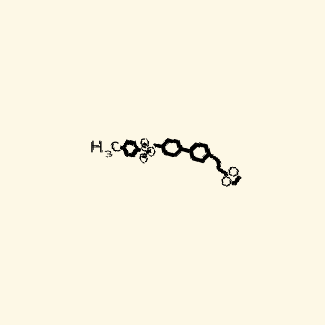 Cc1ccc(S(=O)(=O)OCC2CCC(C3CCC(CCC4OCCO4)CC3)CC2)cc1